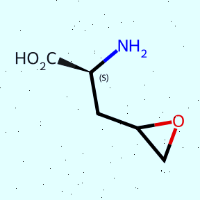 N[C@@H](CC1CO1)C(=O)O